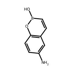 Nc1ccc2c(c1)C=CB(O)O2